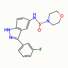 [O-][S+](Nc1ccc2[nH]nc(-c3cccc(F)c3)c2c1)N1CCOCC1